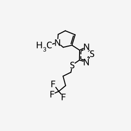 CN1CCC=C(c2nsnc2SCCCC(F)(F)F)C1